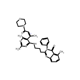 C/C(=C/C(=O)N1CCOCC1)c1c(C)nc(N)nc1NCCCc1nc2cccc(C)c2c(=O)n1-c1ccccc1